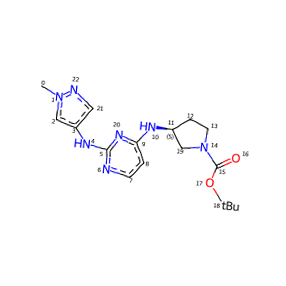 Cn1cc(Nc2nccc(N[C@H]3CCN(C(=O)OC(C)(C)C)C3)n2)cn1